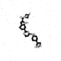 O=C(c1cc2ccc(-c3nccc(Nc4ccc(-c5cn[nH]c5)cc4)n3)cc2[nH]1)N1CC(F)C1